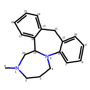 CN1CCCN2c3ccccc3Cc3ccccc3C2C1